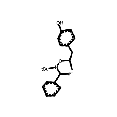 CC(Cc1ccc(O)cc1)ON(C(c1ccccc1)C(C)C)C(C)(C)C